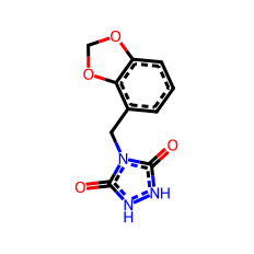 O=c1[nH][nH]c(=O)n1Cc1cccc2c1OCO2